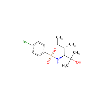 CC[C@H](C)[C@H](NS(=O)(=O)c1ccc(Br)cc1)C(C)(C)O